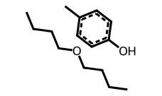 CCCCOCCCC.Cc1ccc(O)cc1